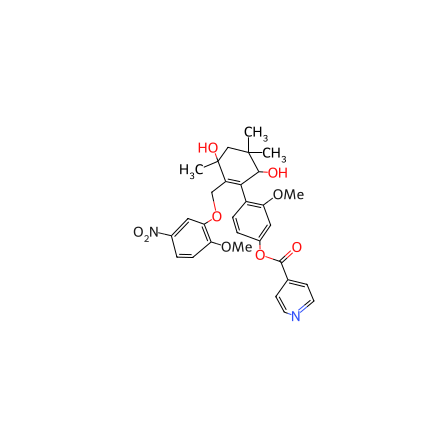 COc1ccc([N+](=O)[O-])cc1OCC1=C(c2ccc(OC(=O)c3ccncc3)cc2OC)C(O)C(C)(C)CC1(C)O